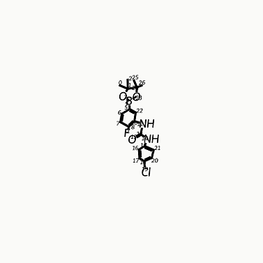 CC1(C)OB(c2ccc(F)c(NC(=O)Nc3ccc(Cl)cc3)c2)OC1(C)C